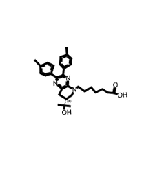 Cc1ccc(-c2nc3c(nc2-c2ccc(C)cc2)N(CCCCCCC(=O)O)C[C@H](C(C)(C)O)C3)cc1